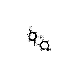 F[C@@H]1CCNC[C@H]1Oc1ccc(I)nc1